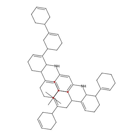 CC(C)(C)c1cc(NC2C(C3CCC=C(C4CC=CCC4)C3)=CCCC2C2=CCCCC2)cc(NC2C(C3CCC=C(C4CC=CCC4)C3)=CCCC2C2=CCCCC2)c1